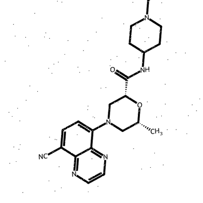 C[C@@H]1CN(c2ccc(C#N)c3nccnc23)C[C@H](C(=O)NC2CCN(CC(F)(F)F)CC2)O1